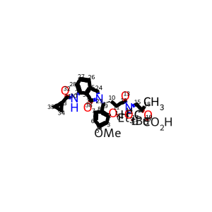 CCOc1cc(OC)ccc1[C@@H](CCC(=O)N(CC(C)(C)OC(=O)O)OC(C)(C)C)N1Cc2cccc(NC(=O)C3CC3)c2C1=O